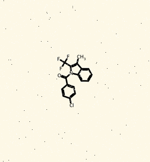 Cc1c(C(F)(F)F)n(C(=O)c2ccc(Cl)cc2)c2ccccc12